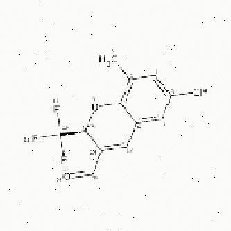 Cc1cc(Cl)cc2c1O[C@H](C(F)(F)F)C(C=O)=C2